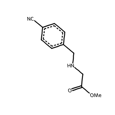 COC(=O)CNCc1ccc(C#N)cc1